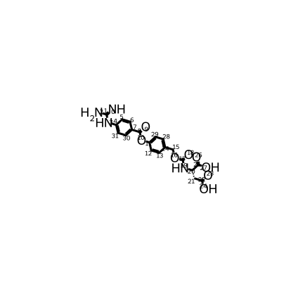 N=C(N)Nc1ccc(C(=O)Oc2ccc(COC(=O)N[C@@H](CC(=O)O)C(=O)O)cc2)cc1